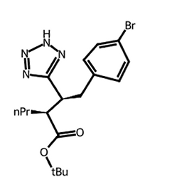 CCC[C@H](C(=O)OC(C)(C)C)[C@H](Cc1ccc(Br)cc1)c1nn[nH]n1